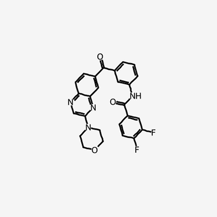 O=C(Nc1cccc(C(=O)c2ccc3ncc(N4CCOCC4)nc3c2)c1)c1ccc(F)c(F)c1